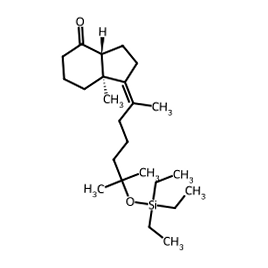 CC[Si](CC)(CC)OC(C)(C)CCC/C(C)=C1/CC[C@H]2C(=O)CCC[C@]12C